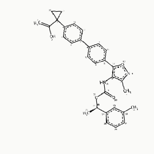 C=C(O)C1(c2ccc(-c3ccc(-c4onc(C)c4NC(=O)O[C@H](C)c4cccc(C)c4)cc3)cc2)CC1